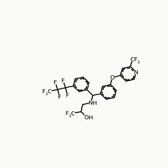 OC(CNC(c1cccc(Oc2ccnc(C(F)(F)F)c2)c1)c1cccc(C(F)(F)C(F)(F)C(F)(F)F)c1)C(F)(F)F